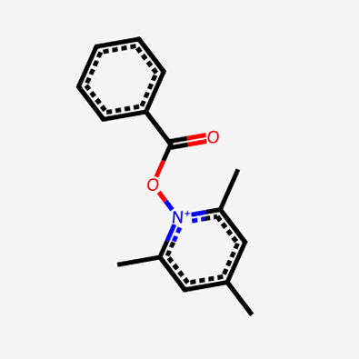 Cc1cc(C)[n+](OC(=O)c2ccccc2)c(C)c1